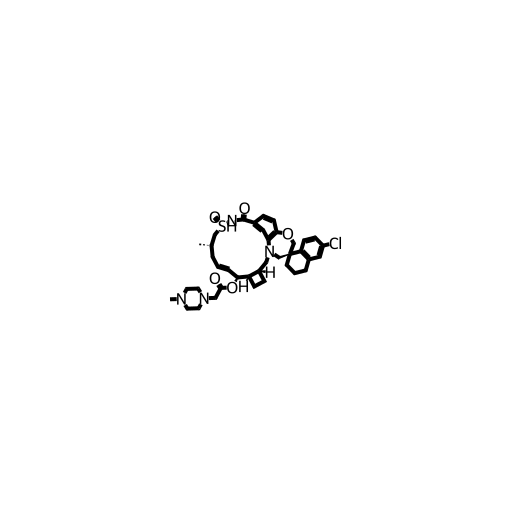 C[C@H]1C/C=C/[C@H](OC(=O)CN2CCN(C)CC2)[C@@H]2CC[C@H]2CN2C[C@@]3(CCCc4cc(Cl)ccc43)COc3ccc(cc32)C(=O)/N=[SH](=O)\C1